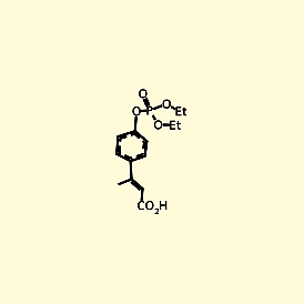 CCOP(=O)(OCC)Oc1ccc(C(C)=CC(=O)O)cc1